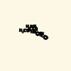 CCO/N=C/c1c(N)ncnc1Nc1ccc2c(cnn2Cc2ccccc2)c1